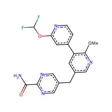 COc1ncc(Cc2cnc(C(N)=O)nc2)cc1-c1ccnc(OC(F)F)c1